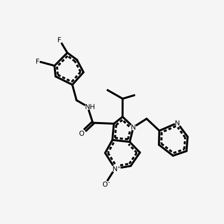 CC(C)c1c(C(=O)NCc2ccc(F)c(F)c2)c2c[n+]([O-])ccc2n1Cc1ccccn1